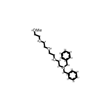 COCCOCCOCCOCCN(Cc1ccccc1)Cc1ccccc1